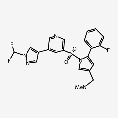 CNCc1cc(-c2ccccc2F)n(S(=O)(=O)c2cncc(-c3cnn(C(F)F)c3)c2)c1